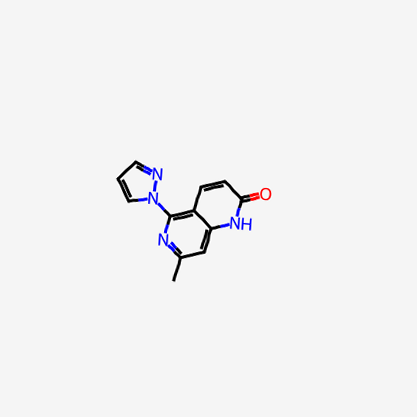 Cc1cc2[nH]c(=O)ccc2c(-n2cccn2)n1